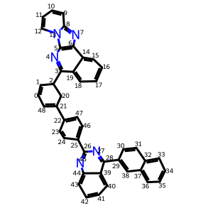 C1=CC(c2nc3c(nc4ccccn43)c3ccccc23)CC(c2ccc(-c3nc(-c4ccc5ccccc5c4)c4ccccc4n3)cc2)=C1